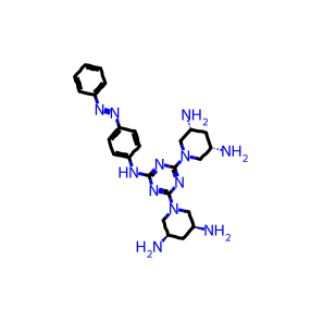 N[C@@H]1C[C@H](N)CN(c2nc(Nc3ccc(/N=N/c4ccccc4)cc3)nc(N3C[C@H](N)C[C@H](N)C3)n2)C1